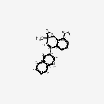 Cc1cccc2c1CC(C)(C)N=C2c1cnc2ccccc2c1